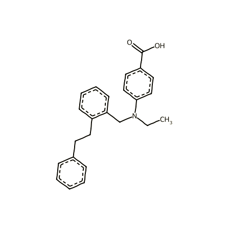 CCN(Cc1ccccc1CCc1ccccc1)c1ccc(C(=O)O)cc1